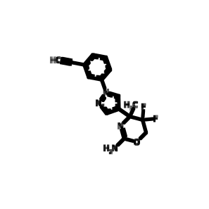 C#Cc1cccc(-n2cc(C3(C)N=C(N)OCC3(F)F)cn2)c1